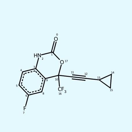 O=C1Nc2ccc(F)cc2C(C#CC2CC2)(C(F)(F)F)O1